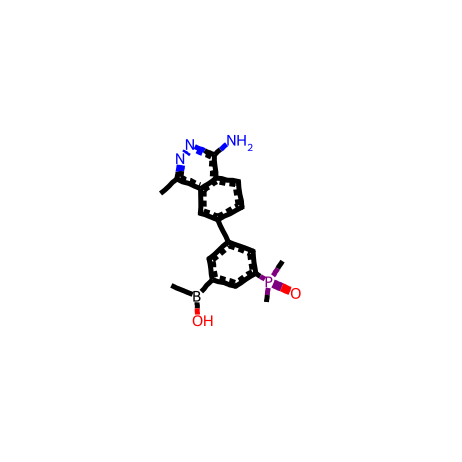 CB(O)c1cc(-c2ccc3c(N)nnc(C)c3c2)cc(P(C)(C)=O)c1